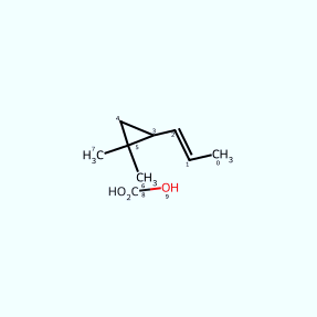 CC=CC1CC1(C)C.O=C(O)O